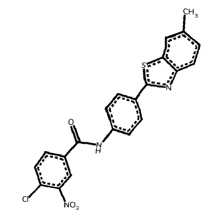 Cc1ccc2nc(-c3ccc(NC(=O)c4ccc(Cl)c([N+](=O)[O-])c4)cc3)sc2c1